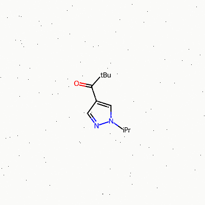 CC(C)n1cc(C(=O)C(C)(C)C)cn1